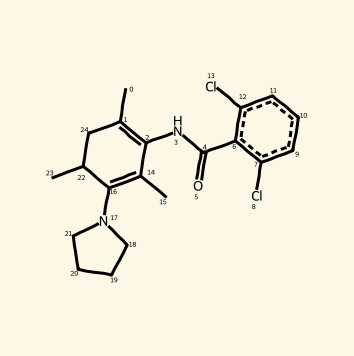 CC1=C(NC(=O)c2c(Cl)cccc2Cl)C(C)=C(N2CCCC2)C(C)C1